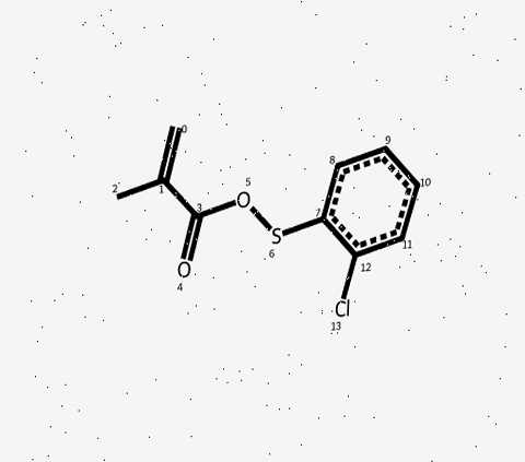 C=C(C)C(=O)OSc1ccccc1Cl